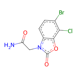 NC(=O)Cn1c(=O)oc2c(Cl)c(Br)ccc21